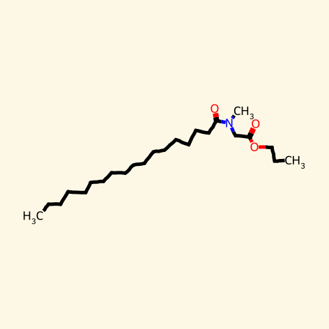 CCCCCCCCCCCCCCCCCC(=O)N(C)CC(=O)OCCC